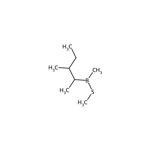 CCC(C)C(C)B(C)SC